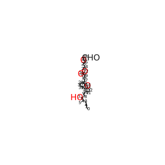 CC#CCC(C)C(O)/C=C/C1CCC2Oc3c(CCCC(=O)OCCCCOC=O)cccc3C12